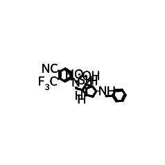 N#Cc1ccc(N2C[C@H]3[C@@H]4C[C@H]([C@H]3S2(O)O)[C@H](NCc2ccccc2)C4)cc1C(F)(F)F